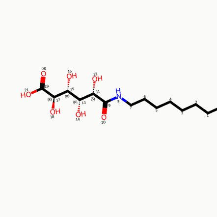 CCCCCCCCNC(=O)[C@@H](O)[C@H](O)[C@@H](O)[C@@H](O)C(=O)O